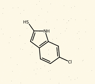 Sc1cc2ccc(Cl)cc2[nH]1